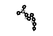 c1ccc(-c2ccc3c(c2)oc2cc(-c4ccccc4-c4cccc5oc6cc(-c7nc(-c8ccccc8)nc(-c8ccccc8)n7)ccc6c45)ccc23)cc1